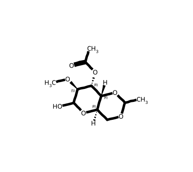 CO[C@@H]1C(O)O[C@@H]2COC(C)O[C@H]2[C@H]1OC(C)=O